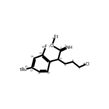 CCOC(=N)C(CCCCl)c1ccc(C(C)(C)C)cc1F